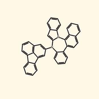 c1ccc2c(c1)-c1cccc3cc(N4c5ccccc5-c5ccc6ccccc6c5-n5c4cc4ccccc45)cc-2c13